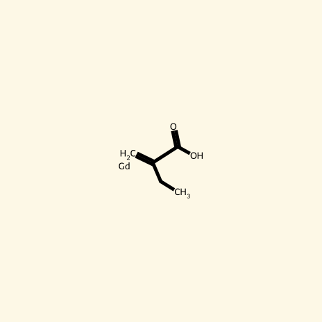 C=C(CC)C(=O)O.[Gd]